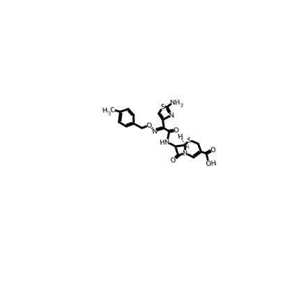 Cc1ccc(CON=C(C(=O)NC2C(=O)N3C=C(C(=O)O)CS[C@H]23)c2csc(N)n2)cc1